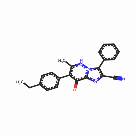 CCc1ccc(-c2c(C)[nH]n3c(-c4ccccc4)c(C#N)nc3c2=O)cc1